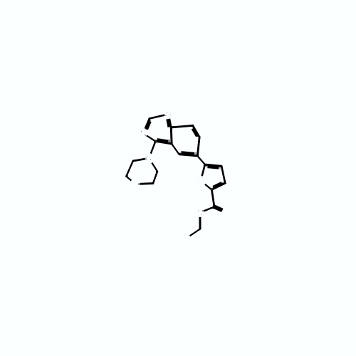 CCNC(=O)c1ccc(-c2ccc3ncnc(N4CCOCC4)c3c2)o1